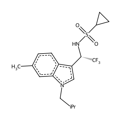 Cc1ccc2c([C@H](NS(=O)(=O)C3CC3)C(F)(F)F)cn(CC(C)C)c2c1